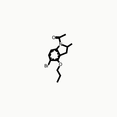 CCCOc1c(Br)ccc2c1CC(C)N2C(C)=O